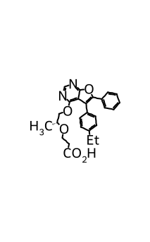 CCc1ccc(-c2c(-c3ccccc3)oc3ncnc(OC[C@@H](C)OCCC(=O)O)c23)cc1